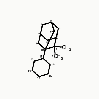 CC1(C)C2CC3CC(C2)CC1(C1CCCCC1)C3